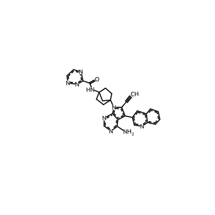 C#Cc1c(-c2cnc3ccccc3c2)c2c(N)ncnc2n1C12CCC(NC(=O)c3nccnn3)(CC1)C2